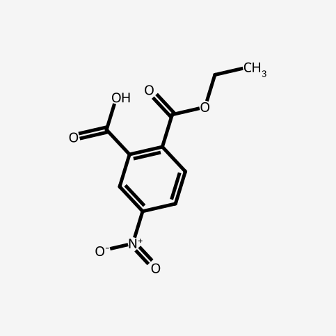 CCOC(=O)c1ccc([N+](=O)[O-])cc1C(=O)O